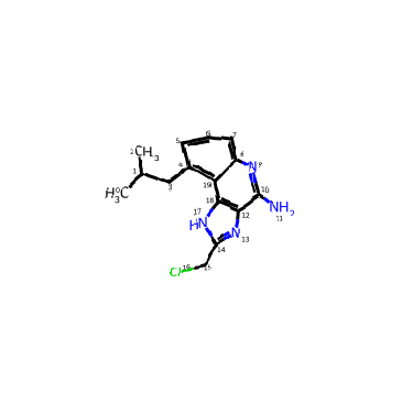 CC(C)Cc1cccc2nc(N)c3nc(CCl)[nH]c3c12